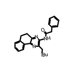 CCC(C)Cc1nc2c(nc1NC(=O)Cc1ccccc1)CCc1ccccc1-2